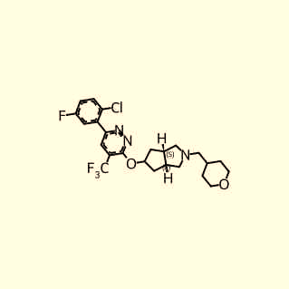 Fc1ccc(Cl)c(-c2cc(C(F)(F)F)c(OC3C[C@@H]4CN(CC5CCOCC5)C[C@@H]4C3)nn2)c1